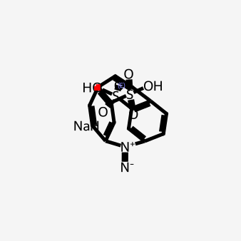 [N-]=[N+]1c2ccc(c(S(=O)(=O)O)c2)/C=C/c2ccc1cc2S(=O)(=O)O.[NaH]